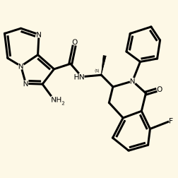 C[C@H](NC(=O)c1c(N)nn2cccnc12)C1Cc2cccc(F)c2C(=O)N1c1ccccc1